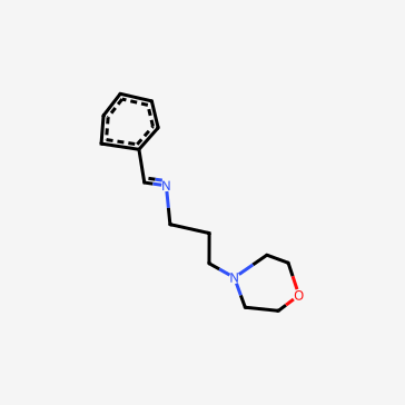 C(=NCCCN1CCOCC1)c1ccccc1